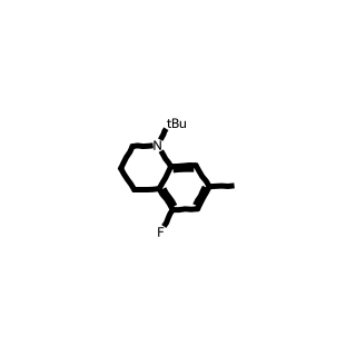 Cc1cc(F)c2c(c1)N(C(C)(C)C)CCC2